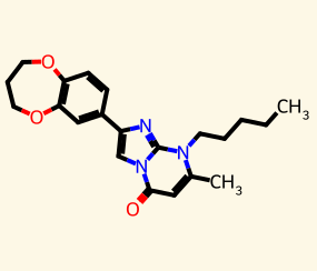 CCCCCn1c(C)cc(=O)n2cc(-c3ccc4c(c3)OCCCO4)nc12